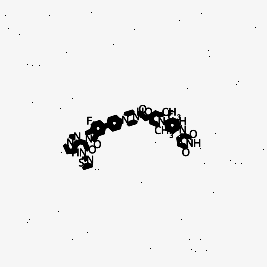 C[C@@H]1CC(O)(CC(=O)N2CCN(c3ccc(-c4cc(F)c5c(c4)C(=O)N(C(C(=O)Nc4nccs4)c4ncn6c4CCC6)C5)cc3)CC2)C[C@H](C)N1c1ccc(NC2CCC(=O)NC2=O)cc1F